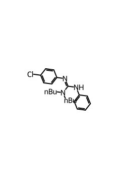 CCCCN(CCCC)C(=Nc1ccc(Cl)cc1)Nc1ccccc1